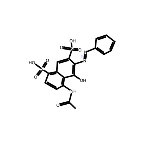 CC(=O)Nc1ccc(S(=O)(=O)O)c2cc(S(=O)(=O)O)c(/N=N/c3ccccc3)c(O)c12